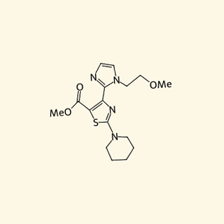 COCCn1ccnc1-c1nc(N2CCCCC2)sc1C(=O)OC